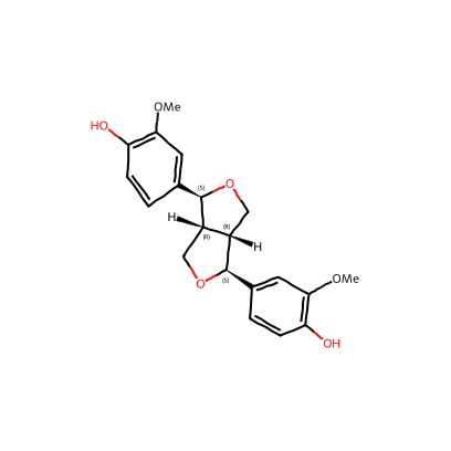 COc1cc([C@H]2OC[C@H]3[C@@H]2CO[C@@H]3c2ccc(O)c(OC)c2)ccc1O